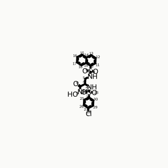 O=C(NO)C(CNS(=O)(=O)c1cccc2ccccc12)NS(=O)(=O)c1ccc(Cl)cc1